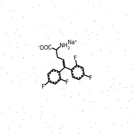 NC(CC=C(c1ccc(F)cc1F)c1ccc(F)cc1F)C(=O)[O-].[Na+]